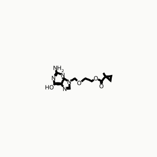 CC1(C(=O)OCCOCn2cnc3c(O)nc(N)nc32)CC1